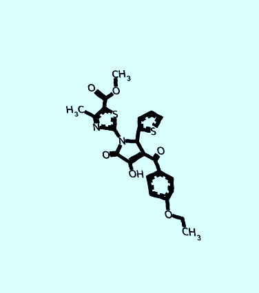 CCOc1ccc(C(=O)C2=C(O)C(=O)N(c3nc(C)c(C(=O)OC)s3)C2c2cccs2)cc1